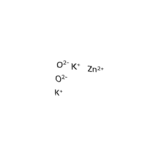 [K+].[K+].[O-2].[O-2].[Zn+2]